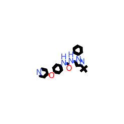 CC(C)(C)c1cc(NC(=O)Nc2ccc(Oc3ccncc3)cc2)n(-c2ccccc2)n1